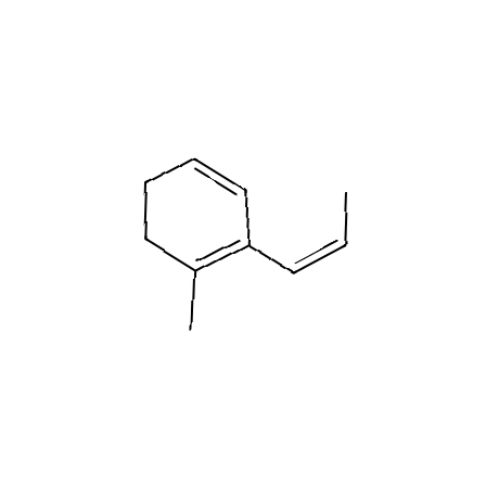 C/C=C\C1=C(C)CCC=C1